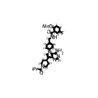 COc1ccc(F)cc1C(=O)NCc1ccc(-n2cc(C3CCN(C(=O)C(C)C)CC3)c3ncnc(N)c32)cc1